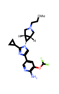 COCCN1C[C@@H]2[C@H](C1)[C@@H]2n1cc(-c2cnc(N)c(OC(F)F)c2)nc1C1CC1